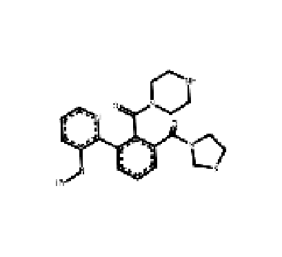 CC(C)Nc1cccnc1-c1cccc(C(=O)N2CCSC2)c1C(=O)N1CCNCC1